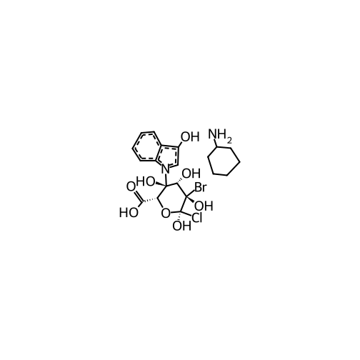 NC1CCCCC1.O=C(O)[C@H]1O[C@](O)(Cl)[C@@](O)(Br)[C@@H](O)[C@@]1(O)n1cc(O)c2ccccc21